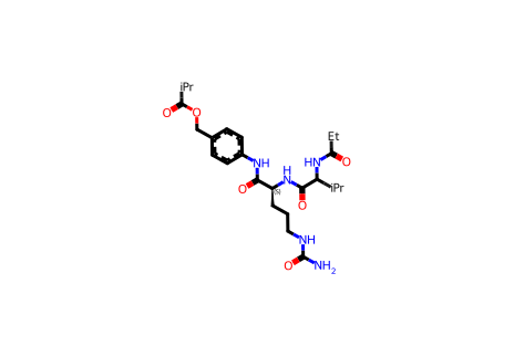 CCC(=O)NC(C(=O)N[C@@H](CCCNC(N)=O)C(=O)Nc1ccc(COC(=O)C(C)C)cc1)C(C)C